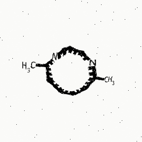 Cc1ccccc(C)nccn1